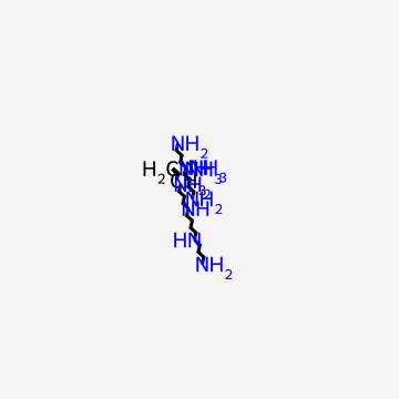 C=CC.N.N.NCCCCNCCCN.NCCCNCCCCNCCCN